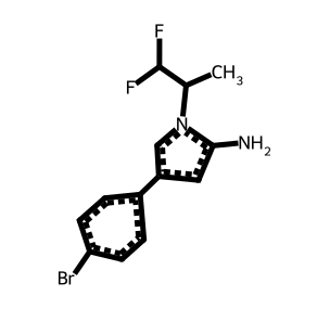 CC(C(F)F)n1cc(-c2ccc(Br)cc2)cc1N